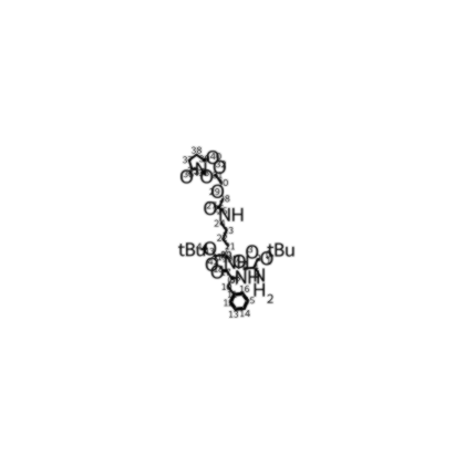 CC(C)(C)OC(=O)C(N)C(=O)N[C@@H](Cc1ccccc1)C(=O)N[C@@H](CCCCNC(=O)COCC(=O)ON1C(=O)CCC1=O)C(=O)OC(C)(C)C